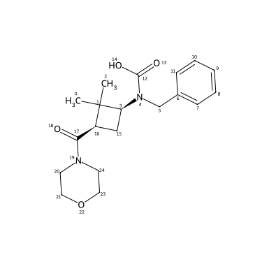 CC1(C)[C@@H](N(Cc2ccccc2)C(=O)O)C[C@H]1C(=O)N1CCOCC1